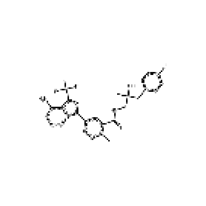 Cc1ncc(-c2cc(C(F)(F)F)c3c(N)ncnn23)cc1C(=O)NCC(C)(O)Cc1ccc(F)cc1